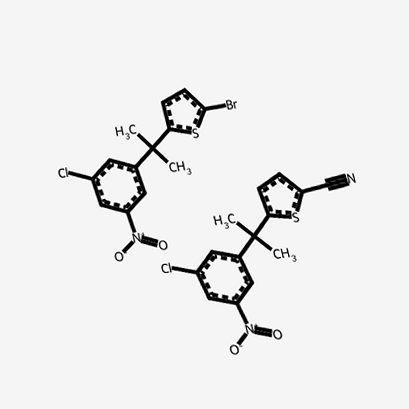 CC(C)(c1cc(Cl)cc([N+](=O)[O-])c1)c1ccc(Br)s1.CC(C)(c1cc(Cl)cc([N+](=O)[O-])c1)c1ccc(C#N)s1